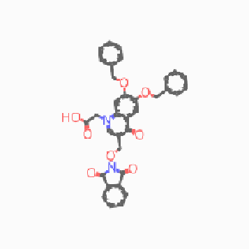 O=C(O)Cn1cc(CON2C(=O)c3ccccc3C2=O)c(=O)c2cc(OCc3ccccc3)c(OCc3ccccc3)cc21